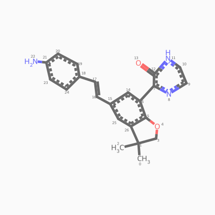 CC1(C)COc2c(-c3ncc[nH]c3=O)cc(/C=C/c3ccc(N)cc3)cc21